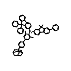 Cc1cc(-c2ccc(C34CC5CC(CC(C5)C3)C4)cc2)cc(C)c1N(c1ccc2c(c1)C(C)(C)c1cc(-c3ccccc3)ccc1-2)c1ccc2c(c1)C(c1ccccc1)(c1ccccc1)c1ccccc1-2